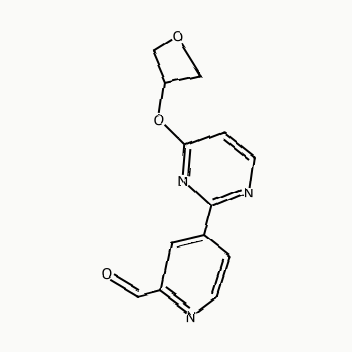 O=Cc1cc(-c2nccc(OC3COC3)n2)ccn1